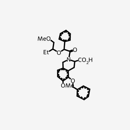 CCC(COC)OC(C(=O)N1Cc2ccc(OC)c(OCc3ccccc3)c2CC1C(=O)O)c1ccccc1